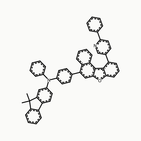 CC1(C)c2ccccc2-c2ccc(N(c3ccccc3)c3ccc(-c4cc5oc6cccc(-c7ccc(-c8ccccc8)nc7)c6c5c5ccccc45)cc3)cc21